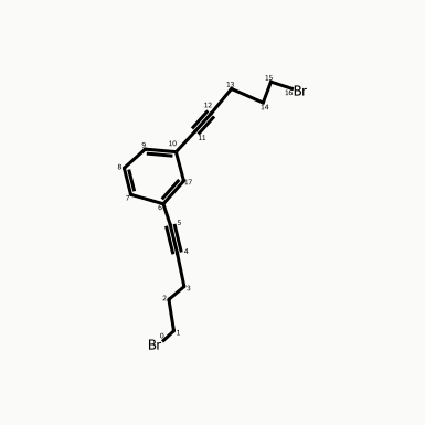 BrCCCC#Cc1cccc(C#CCCCBr)c1